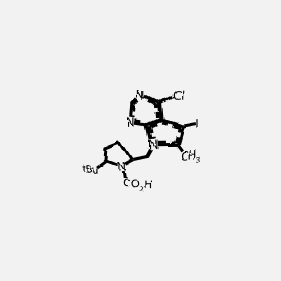 Cc1c(I)c2c(Cl)ncnc2n1CC1CCC(C(C)(C)C)N1C(=O)O